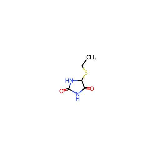 CCSC1NC(=O)NC1=O